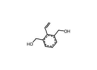 C=Cc1c(CO)cccc1CO